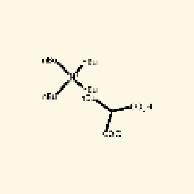 CCCCC(C(=O)[O-])C(=O)O.CCCC[N+](CCCC)(CCCC)CCCC